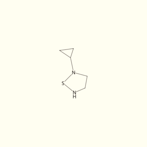 C1CN(C2CC2)SN1